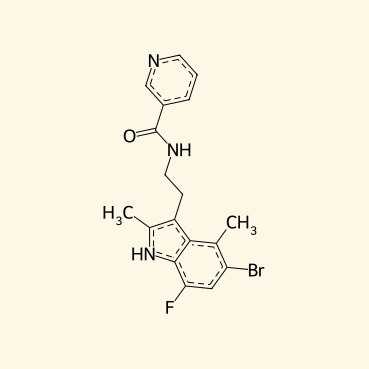 Cc1[nH]c2c(F)cc(Br)c(C)c2c1CCNC(=O)c1cccnc1